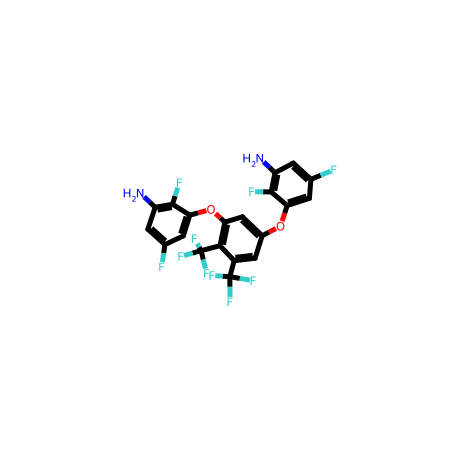 Nc1cc(F)cc(Oc2cc(Oc3cc(F)cc(N)c3F)c(C(F)(F)F)c(C(F)(F)F)c2)c1F